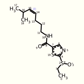 CC[S+]([O-])c1ncc(C(=O)NCCC/C=C\C(C)C)s1